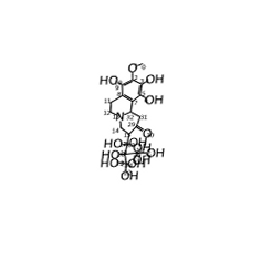 COc1c(O)c(O)c2c(c1O)CCN1CC(C(O)(O)C(O)(C(O)(O)O)C(O)(O)O)C(=O)CC21